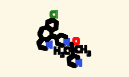 CC(C)(C(=O)N1CCC(=C2c3ccc(Cl)cc3C=Cc3cccnc32)CC1)c1cccnc1